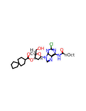 CCCCCCCCC(=O)Nc1nc(Cl)nc2c1ncn2[C@H]1C[C@H](OC(=O)C2CCC3(CCCC3)CC2)[C@@](C)(CO)O1